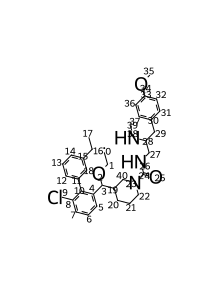 [CH2]COC(c1cccc(Cl)c1-c1cccc(CC)c1)C1CCCN(C(=O)NCC(Cc2ccc(OC)cc2)NC)C1